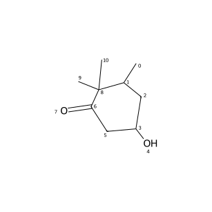 CC1CC(O)CC(=O)C1(C)C